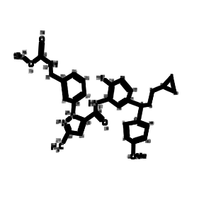 COc1ccc(C(CCC2CC2)c2ccc(F)c(NC(=O)c3cc(C)nn3-c3cccc(CNC(=O)OC(C)(C)C)c3)c2)cc1